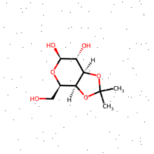 CC1(C)O[C@@H]2[C@@H](O)[C@H](O)O[C@H](CO)[C@@H]2O1